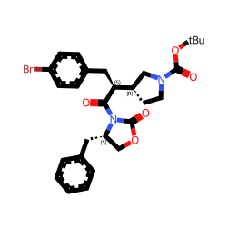 CC(C)(C)OC(=O)N1CC[C@H]([C@H](Cc2ccc(Br)cc2)C(=O)N2C(=O)OC[C@@H]2Cc2ccccc2)C1